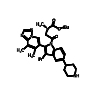 Cc1c(-c2c(C(C)C)c3cc(C4CCNCC4)ccc3n2C(=O)CN(C)C(=O)OC(C)(C)C)cn2ncnc2c1C